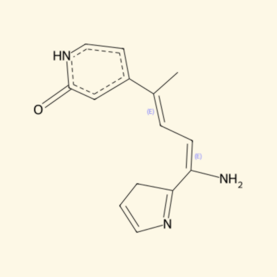 C/C(=C\C=C(\N)C1=NC=CC1)c1cc[nH]c(=O)c1